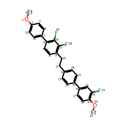 CCOc1ccc(-c2ccc(CCc3ccc(-c4ccc(OCC)c(F)c4)cc3)c(F)c2F)cc1